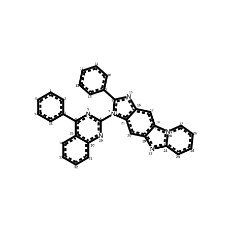 c1ccc(-c2nc(-n3c(-c4ccccc4)nc4cc5c(cc43)nc3ccccn35)nc3ccccc23)cc1